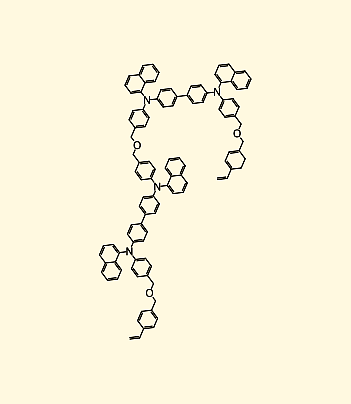 C=CC1=CC=C(COCc2ccc(N(c3ccc(-c4ccc(N(c5ccc(COCc6ccc(N(c7ccc(-c8ccc(N(c9ccc(COCc%10ccc(C=C)cc%10)cc9)c9cccc%10ccccc9%10)cc8)cc7)c7cccc8ccccc78)cc6)cc5)c5cccc6ccccc56)cc4)cc3)c3cccc4ccccc34)cc2)CC1